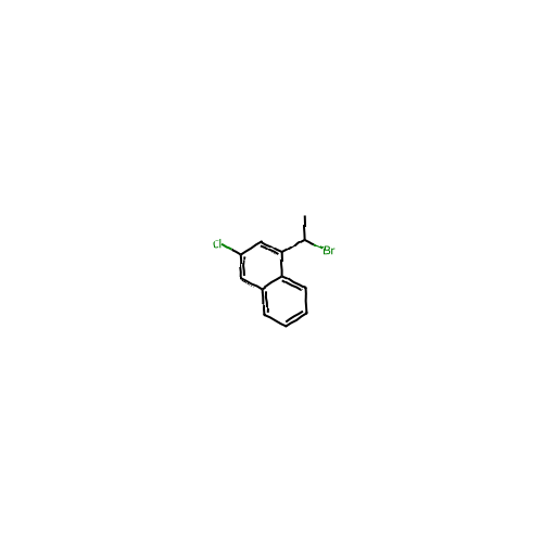 CC(Br)c1cc(Cl)cc2ccccc12